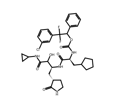 O=C(N[C@@H](CC1CCCC1)C(=O)N[C@@H](C[C@@H]1CCNC1=O)C(O)C(=O)NC1CC1)OC(c1ccccc1)C(F)(F)c1cccc(Cl)c1